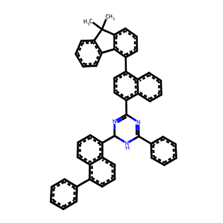 CC1(C)c2ccccc2-c2c(-c3ccc(C4=NC(c5cccc6c(-c7ccccc7)cccc56)NC(c5ccccc5)=N4)c4ccccc34)cccc21